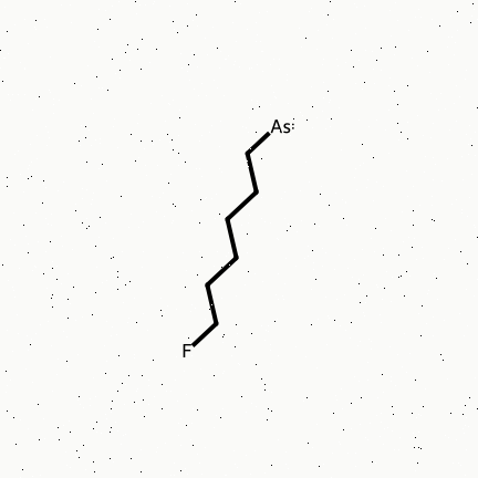 FCCCCCC[As]